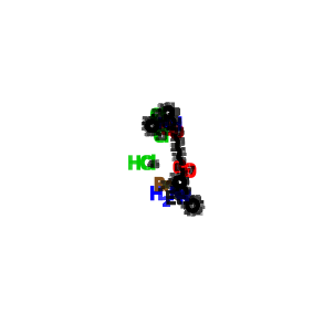 CCN(Cc1cc(C(=O)OCCCCCCOC(=O)Cc2ccccc2Nc2c(Cl)cccc2Cl)cc(Br)c1N)C1CCCCC1.Cl